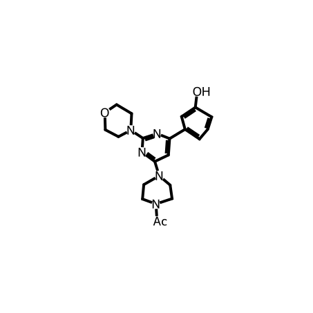 CC(=O)N1CCN(c2cc(-c3cccc(O)c3)nc(N3CCOCC3)n2)CC1